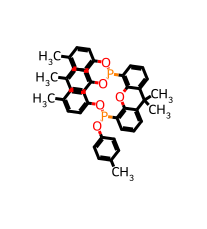 Cc1ccc(OP(Oc2ccc(C)cc2)c2cccc3c2Oc2c(P(Oc4ccc(C)cc4)Oc4ccc(C)cc4)cccc2C3(C)C)cc1